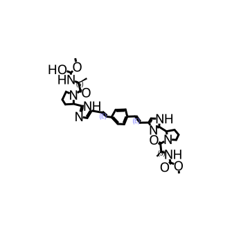 COC(=O)N[C@@H](C)C(=O)N1CCCC1c1nc(/C=C/c2ccc(/C=C/c3cnc(C4CCCN4C(=O)[C@H](C)NC(O)OC)[nH]3)cc2)c[nH]1